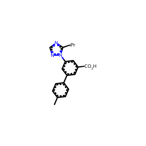 Cc1ccc(-c2cc(C(=O)O)cc(-n3ncnc3C(C)C)c2)cc1